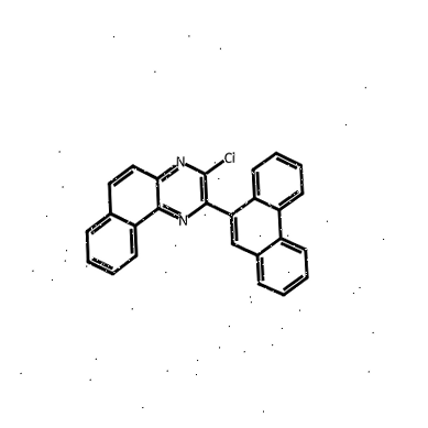 Clc1nc2ccc3ccccc3c2nc1-c1cc2ccccc2c2ccccc12